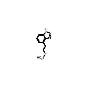 O=S(=O)(O)[N]CCc1cccc2[nH]nnc12